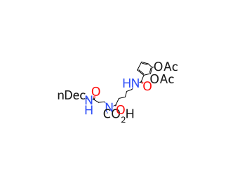 CCCCCCCCCCNC(=O)CCN(C(=O)O)C(=O)CCCCNC(=O)c1cccc(OC(C)=O)c1OC(C)=O